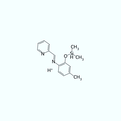 Cc1ccc(N=Cc2ccccn2)c(O[SiH](C)C)c1.[H+]